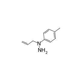 C=CCN(N)c1ccc(C)cc1